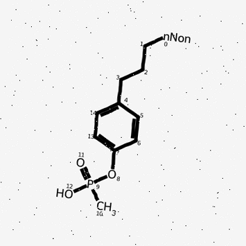 CCCCCCCCCCCCc1ccc(OP(C)(=O)O)cc1